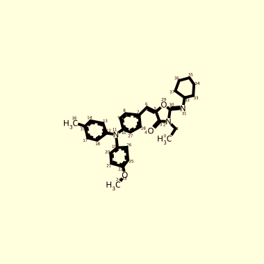 CCN1C(=O)/C(=C\c2ccc(N(c3ccc(C)cc3)c3ccc(OC)cc3)cc2)OC1=NC1CCCCC1